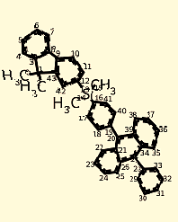 CC1(C)c2ccccc2-c2ccc([Si](C)(C)c3ccc(-c4c5ccccc5c(-c5ccccc5)c5ccccc45)cc3)cc21